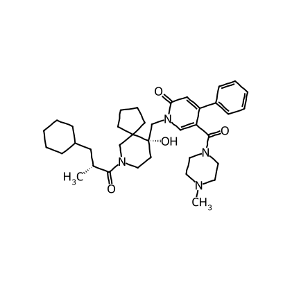 C[C@H](CC1CCCCC1)C(=O)N1CC[C@](O)(Cn2cc(C(=O)N3CCN(C)CC3)c(-c3ccccc3)cc2=O)C2(CCCC2)C1